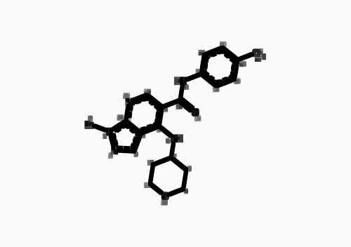 CCn1ncc2c(NC3CCOCC3)c(C(=O)Nc3ccc(C(F)(F)F)cc3)cnc21